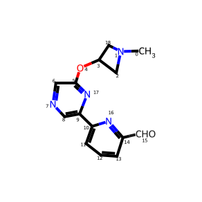 CN1CC(Oc2cncc(-c3cccc(C=O)n3)n2)C1